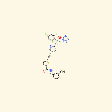 N#Cc1cccc(CNC(=O)c2ccc(C#Cc3ccc(C(F)(F)C(O)(Cn4cnnn4)c4ccc(F)cc4F)nc3)s2)c1